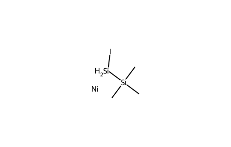 C[Si](C)(C)[SiH2]I.[Ni]